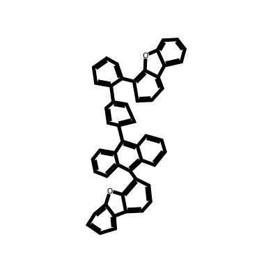 c1ccc(-c2cccc3c2oc2ccccc23)c(-c2ccc(-c3c4ccccc4c(-c4cccc5c4oc4ccccc45)c4ccccc34)cc2)c1